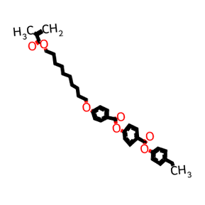 C=C(C)C(=O)OCCCCCCCCCCOc1ccc(C(=O)Oc2ccc(C(=O)Oc3ccc(CC)cc3)cc2)cc1